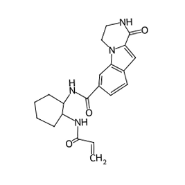 C=CC(=O)NC1CCCCC1NC(=O)c1ccc2cc3n(c2c1)CCNC3=O